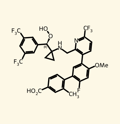 COc1cc(F)c(-c2ccc(C(=O)O)cc2C)cc1-c1ccc(C(F)(F)F)nc1CNC1([C@H](OO)c2cc(C(F)(F)F)cc(C(F)(F)F)c2)CC1